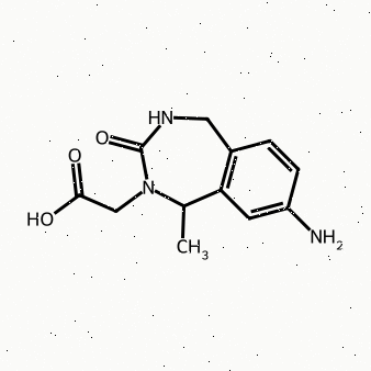 CC1c2cc(N)ccc2CNC(=O)N1CC(=O)O